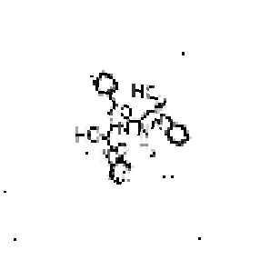 Cl.N[C@@H](CS(=O)(=O)Cc1ccccc1)C(=O)N[C@@H](CCc1ccccc1)C(O)c1nc2ccccc2o1